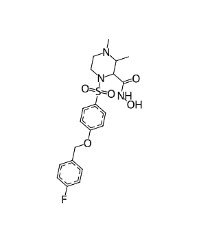 CC1C(C(=O)NO)N(S(=O)(=O)c2ccc(OCc3ccc(F)cc3)cc2)CCN1C